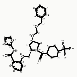 O=C(Nc1ncco1)c1ncccc1OC[C@H]1C[C@@H](OCOCc2ccccc2)CN1C(=O)C1CCC(C(F)(F)F)CC1